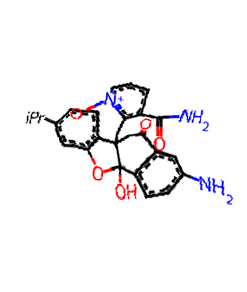 CC(C)c1ccc2c(c1)OC1(O)c3ccc(N)cc3C(=O)C21c1c(C(N)=O)ccc[n+]1[O-]